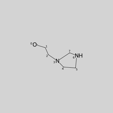 [O]CCN1CCNC1